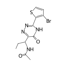 CCC(NC(C)=O)c1nnc(-c2sccc2Br)[nH]c1=O